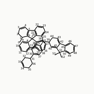 CC1CC=CC2=C1C1(c3ccccc3-c3ccccc31)c1c2cccc1N(c1ccc(C2CC=CCC2)cc1)C1C=C2C(=CC1)c1ccccc1C2(C)C